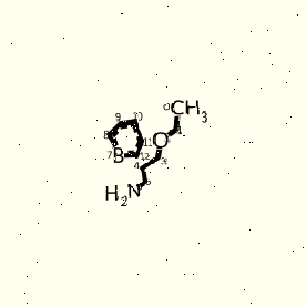 CCOCCCN.b1ccccc1